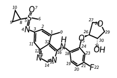 Cc1cc(N=S(C)(=O)C2CC2)cc2ncnc(Nc3ccc(F)cc3O[C@H]3COC[C@@H]3O)c12